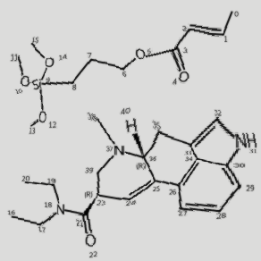 CC=CC(=O)OCCC[Si](OC)(OC)OC.CCN(CC)C(=O)[C@@H]1C=C2c3cccc4[nH]cc(c34)C[C@H]2N(C)C1